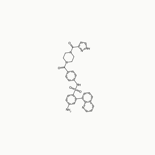 Nc1ccc(S(=O)(=O)Nc2ccc(C(=O)N3CCN(C(=O)c4cc[nH]n4)CC3)cc2)c(-c2cccc3cccnc23)c1